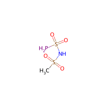 CS(=O)(=O)NS(=O)(=O)P